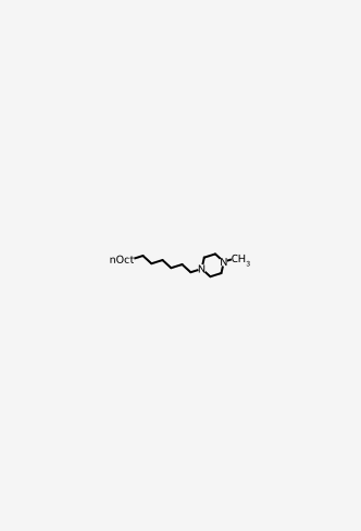 CCCCCCCCCCCCCCN1CCN(C)CC1